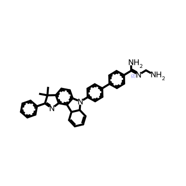 CC1(C)C(c2ccccc2)=Nc2c1ccc1c2C2C=CC=CC2N1c1ccc(-c2ccc(/C(N)=N/CN)cc2)cc1